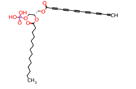 C#CC#CC#CC#CC#CC#CC(=O)OC[C@@H](COP(=O)(O)O)OC(=O)CCCCCCCCCCCCC